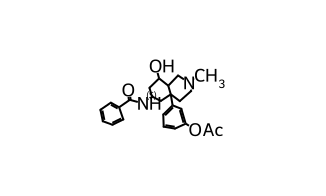 CC(=O)Oc1cccc(C23CCN(C)CC2C(O)C[C@@H](NC(=O)c2ccccc2)C3)c1